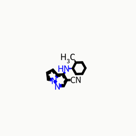 C[C@H]1CCCC[C@H]1Nc1c(C#N)cnn2cccc12